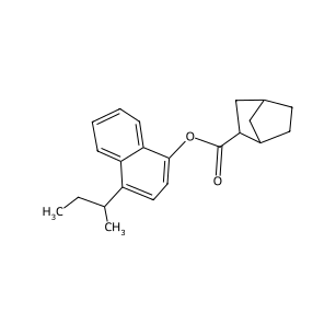 CCC(C)c1ccc(OC(=O)C2CC3CCC2C3)c2ccccc12